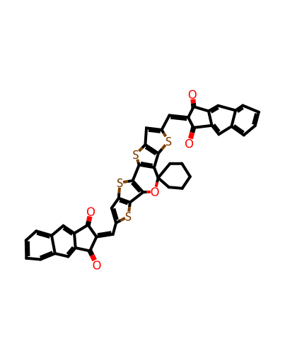 O=C1C(=Cc2cc3sc4c(c3s2)OC2(CCCCC2)c2c-4sc3cc(C=C4C(=O)c5cc6ccccc6cc5C4=O)sc23)C(=O)c2cc3ccccc3cc21